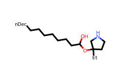 CCCCCCCCCCCCCCCCCC(O)OC1(CC)CCNC1